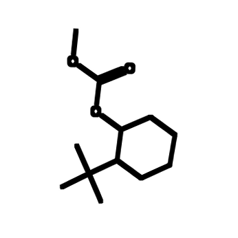 COC(=O)OC1CCCCC1C(C)(C)C